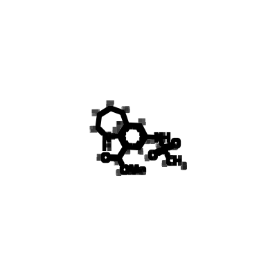 COC(=O)c1cc(NS(C)(=O)=O)cc2c1NCCCC2